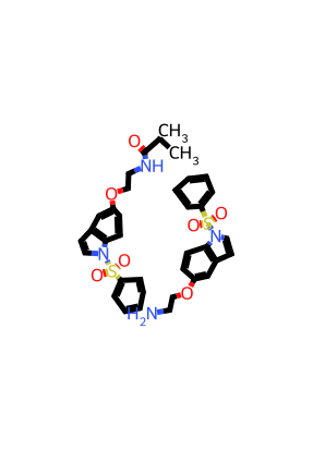 CC(C)C(=O)NCCOc1ccc2c(ccn2S(=O)(=O)c2ccccc2)c1.NCCOc1ccc2c(ccn2S(=O)(=O)c2ccccc2)c1